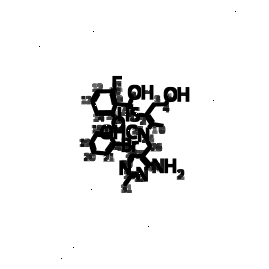 C/C(=C(CCO)/[SH]=C(\O)c1c(F)cccc1Oc1ccccc1Br)N(C=O)Cc1cnc(C)nc1N